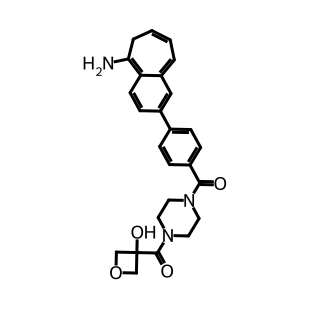 NC1=c2ccc(-c3ccc(C(=O)N4CCN(C(=O)C5(O)COC5)CC4)cc3)cc2=CC=CC1